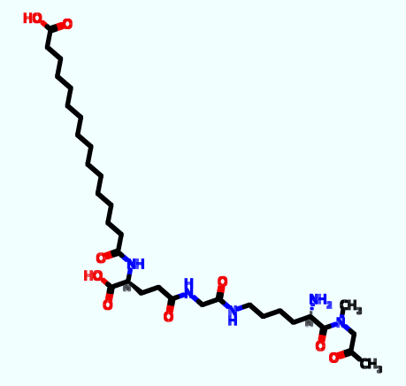 CC(=O)CN(C)C(=O)[C@@H](N)CCCCNC(=O)CNC(=O)CC[C@H](NC(=O)CCCCCCCCCCCCCCC(=O)O)C(=O)O